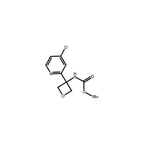 CC(C)(C)OC(=O)NC1(c2cc(Cl)ccn2)COC1